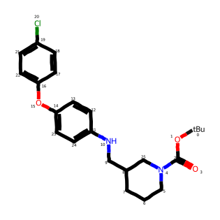 CC(C)(C)OC(=O)N1CCCC(CNc2ccc(Oc3ccc(Cl)cc3)cc2)C1